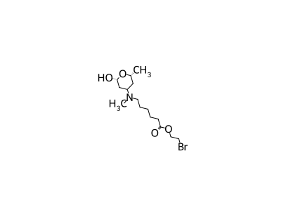 C[C@@H]1CC(N(C)CCCCCC(=O)OCCBr)C[C@H](O)O1